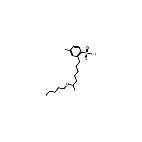 CCCCCOC(C)CCCCCc1cc(C)ccc1S(=O)(=O)O